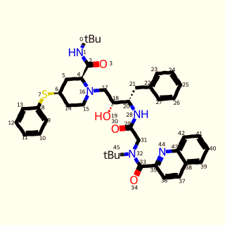 CC(C)(C)NC(=O)[C@@H]1C[C@H](Sc2ccccc2)CCN1C[C@@H](O)[C@H](Cc1ccccc1)NC(=O)CN(C(=O)c1ccc2ccccc2n1)C(C)(C)C